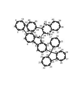 c1ccc(-c2ccc3c4ccc(C5(c6ccccc6)c6ccccc6-c6ccccc65)cc4n(-c4nc5ccccc5nc4-c4ccccc4)c3c2)cc1